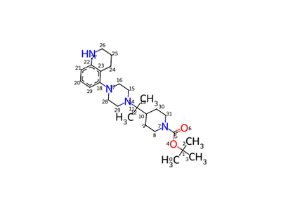 CC(C)(C)OC(=O)N1CCC(C(C)(C)N2CCN(c3cccc4c3CCCN4)CC2)CC1